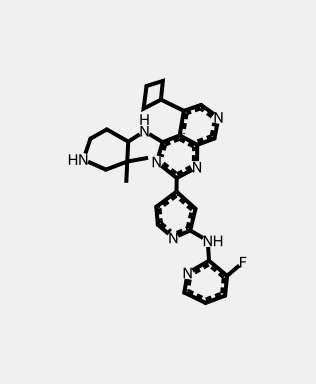 CC1(C)CNCCC1Nc1nc(-c2ccnc(Nc3ncccc3F)c2)nc2cncc(C3CCC3)c12